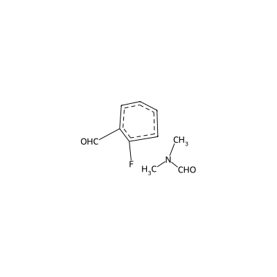 CN(C)C=O.O=Cc1ccccc1F